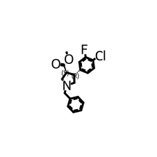 COC(=O)[C@@H]1CN(Cc2ccccc2)C[C@H]1c1ccc(Cl)c(F)c1